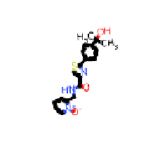 CC(C)(O)c1ccc(-c2nc(C(=O)NCc3cccc[n+]3[O-])cs2)cc1